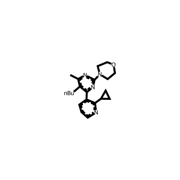 CCCCc1c(C)nc(N2CCOCC2)nc1-c1cccnc1C1CC1